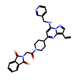 C=Cc1cnn2c(NCc3cccnc3)cc(C3CCN(C(=O)CN4C(=O)c5ccccc5C4=O)CC3)nc12